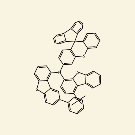 CC(C)(C)c1ccc(N(c2ccc3c(c2)Sc2ccccc2C32c3ccccc3-c3ccccc32)c2cccc3sc4ccc(-c5ccccc5)cc4c23)c2sc3ccccc3c12